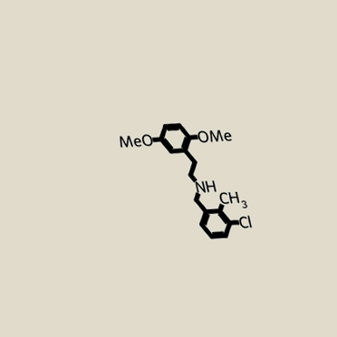 COc1ccc(OC)c(CCNCc2cccc(Cl)c2C)c1